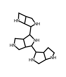 C1CC2C(CNC2C2NC(C3NCC4CNC43)C3CNCC32)N1